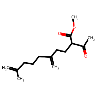 C=C(C)CCCC(=C)CCC(C(C)=O)C(=O)OC